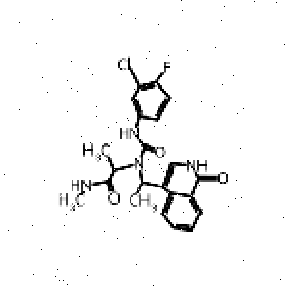 CNC(=O)C(C)N(C(=O)Nc1ccc(F)c(Cl)c1)C(C)c1c[nH]c(=O)c2ccccc12